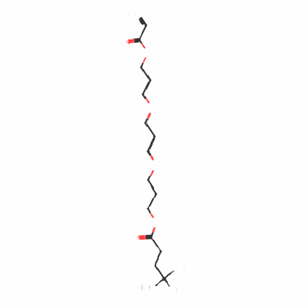 C=CC(=O)OCCCOCCCOCCCOC(=O)CCC(C)(C)C